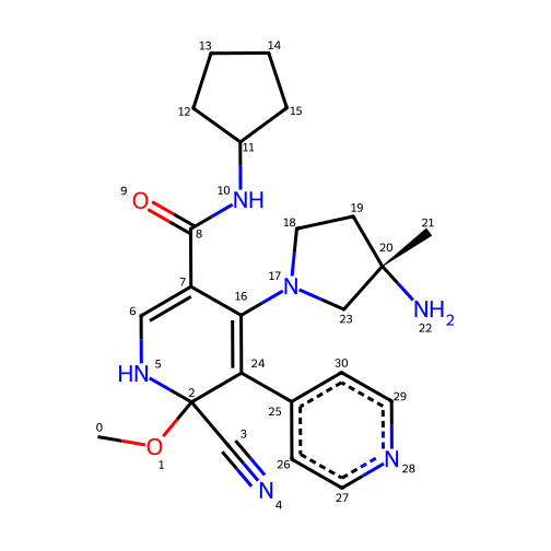 COC1(C#N)NC=C(C(=O)NC2CCCC2)C(N2CC[C@](C)(N)C2)=C1c1ccncc1